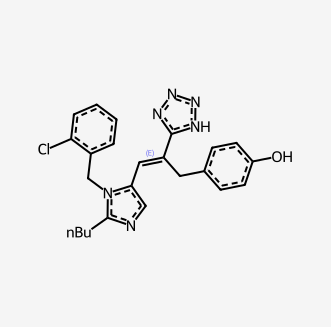 CCCCc1ncc(/C=C(\Cc2ccc(O)cc2)c2nnn[nH]2)n1Cc1ccccc1Cl